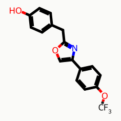 Oc1ccc(Cc2nc(-c3ccc(OC(F)(F)F)cc3)co2)cc1